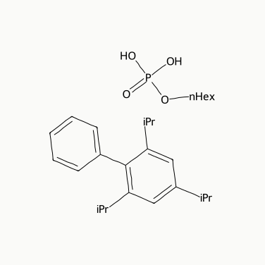 CC(C)c1cc(C(C)C)c(-c2ccccc2)c(C(C)C)c1.CCCCCCOP(=O)(O)O